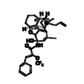 C=CC[N+]1(C)CC[C@@]23C4=C5C[C@@H]1[C@@H]2CCC[C@@H]3OC4C(O)(NC(=O)C(=Cc1ccccc1)OC(F)(F)F)C=C5C